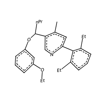 CCCC(Oc1cccc(OCC)c1)c1cnc(-c2c(CC)cccc2CC)cc1C